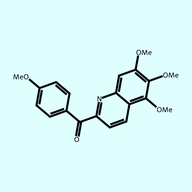 COc1ccc(C(=O)c2ccc3c(OC)c(OC)c(OC)cc3n2)cc1